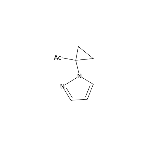 CC(=O)C1(n2cccn2)CC1